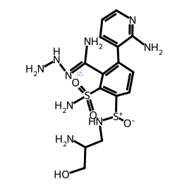 NN/N=C(\N)c1c(-c2cccnc2N)ccc([S+]([O-])NCC(N)CO)c1S(N)(=O)=O